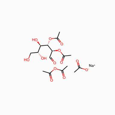 CC(=O)OC(C)=O.CC(=O)O[C@@H]([C@H](O)[C@H](O)CO)[C@H](C=O)OC(C)=O.CC(=O)[O-].[Na+]